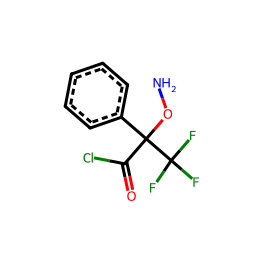 NOC(C(=O)Cl)(c1ccccc1)C(F)(F)F